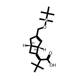 CC(C)(C)C(C(=O)O)=C1C[C@@H]2CC(CO[Si](C)(C)C(C)(C)C)=C[C@H]12